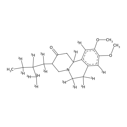 [2H]c1c(OC)c(OC)c([2H])c2c1C1([2H])CC(=O)C(C([2H])([2H])C([2H])(C([2H])([2H])[2H])C([2H])([2H])C)CN1C([2H])([2H])C2([2H])[2H]